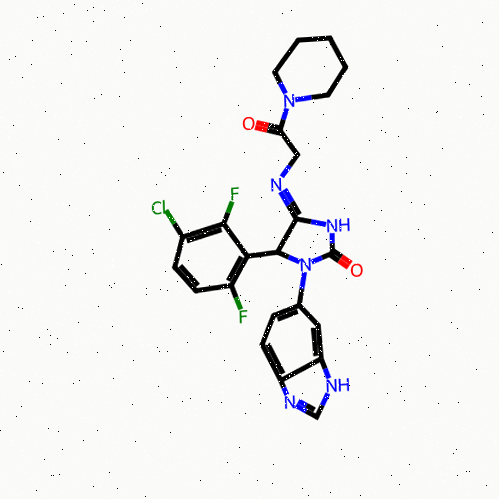 O=C(CN=C1NC(=O)N(c2ccc3nc[nH]c3c2)C1c1c(F)ccc(Cl)c1F)N1CCCCC1